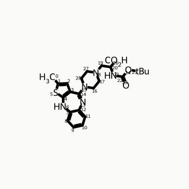 Cc1cc2c(s1)Nc1ccccc1N=C2N1CCN(CC(NC(=O)OC(C)(C)C)C(=O)O)CC1